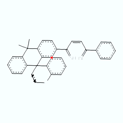 CC1(C)c2ccccc2C2(c3ccccc3Oc3ccccc32)c2cc(C(=N)/C=C\C(=N)c3ccccc3)ccc21